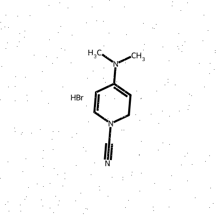 Br.CN(C)C1=CCN(C#N)C=C1